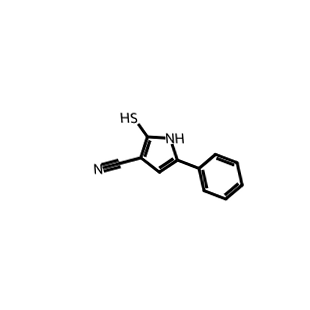 N#Cc1cc(-c2ccccc2)[nH]c1S